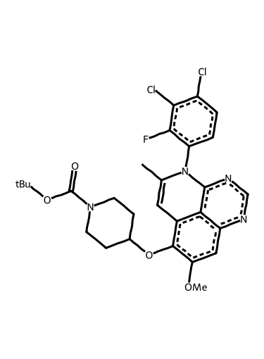 COc1cc2ncnc3c2c(c1OC1CCN(C(=O)OC(C)(C)C)CC1)C=C(C)N3c1ccc(Cl)c(Cl)c1F